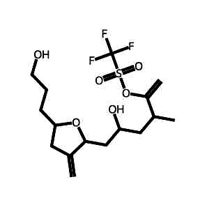 C=C(OS(=O)(=O)C(F)(F)F)C(C)CC(O)CC1OC(CCCO)CC1=C